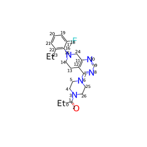 CCC(=O)N1CCN(c2ncnc3c2CCN(c2c(F)cccc2CC)C3)CC1